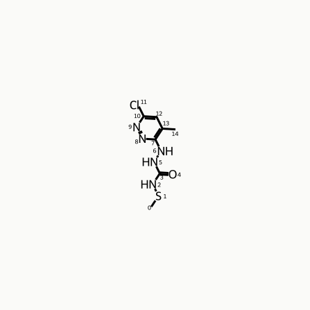 CSNC(=O)NNc1nnc(Cl)cc1C